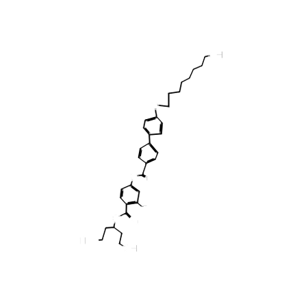 CCCCCCCCCOc1ccc(-c2ccc(C(=O)Oc3ccc(C(=O)OC(CCC)CCC)c(F)c3)cc2)cc1